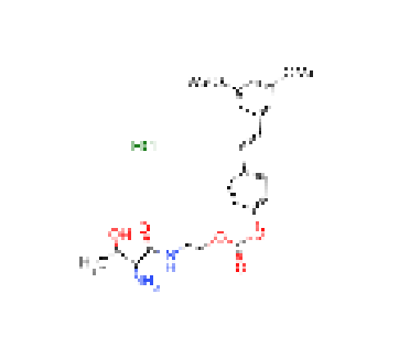 COc1cc(C=Cc2ccc(OC(=O)OCCNC(=O)C(N)C(C)O)cc2)cc(OC)c1.Cl